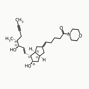 CC#CC[C@@H](C)[C@H](O)C=C[C@@H]1[C@H]2CC(=CCCCC(=O)N3CCOCC3)C[C@H]2C[C@H]1O